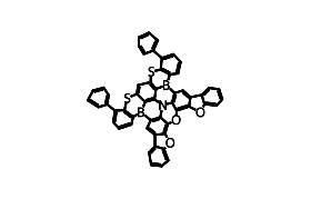 c1ccc(-c2cccc3c2Sc2cc4c5c6c2B3c2cc3c(oc7ccccc73)c3c2N6c2c(cc6c(oc7ccccc76)c2O3)B5c2cccc(-c3ccccc3)c2S4)cc1